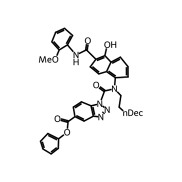 CCCCCCCCCCCCN(C(=O)n1nnc2cc(C(=O)Oc3ccccc3)ccc21)c1cccc2c(O)c(C(=O)Nc3ccccc3OC)ccc12